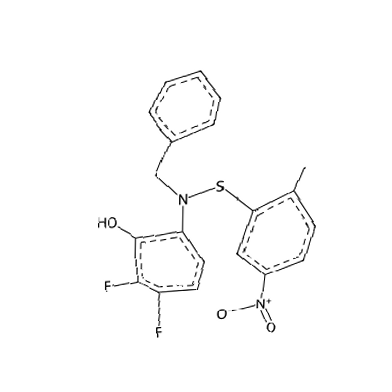 Cc1ccc([N+](=O)[O-])cc1SN(Cc1ccccc1)c1ccc(F)c(F)c1O